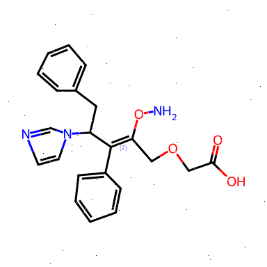 NO/C(COCC(=O)O)=C(/c1ccccc1)C(Cc1ccccc1)n1ccnc1